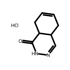 Cl.O=C1NN=CC2CC=CCC12